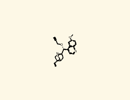 C#CCO[C@H](c1ccnc2ccc(OC)cc12)C1CC2CCN1CC2C=C